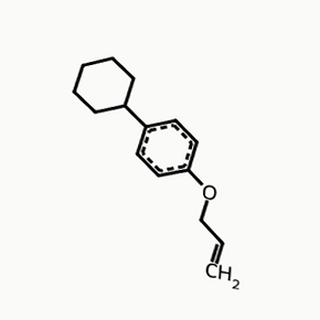 C=CCOc1ccc(C2CCCCC2)cc1